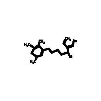 C=C/C(=C\C(C)=O)C(CC)CCCCC1=CC(C)CC(C)=C1C